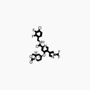 O=C(NCc1ccc(Cl)c(F)c1F)c1cc(O[C@H]2CCN3C(=O)OC[C@@H]3C2)c(-c2cnn(C(F)F)c2)cn1